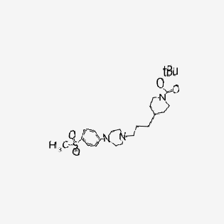 CC(C)(C)OC(=O)N1CCC(CCCN2CCN(c3ccc(S(C)(=O)=O)cc3)CC2)CC1